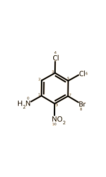 Nc1cc(Cl)c(Cl)c(Br)c1[N+](=O)[O-]